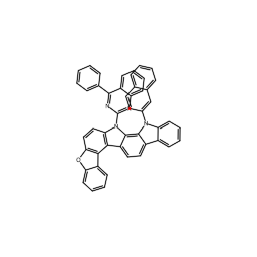 c1ccc(-c2nc(-n3c4ccc5oc6ccccc6c5c4c4ccc5c6ccccc6n(-c6ccc7ccccc7c6)c5c43)nc3ccccc23)cc1